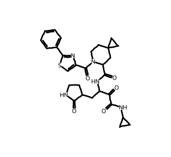 O=C(NC1CC1)C(=O)C(CC1CCNC1=O)NC(=O)C1CC2(CCN1C(=O)c1csc(-c3ccccc3)n1)CC2